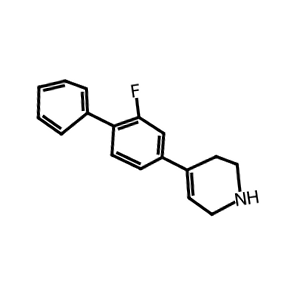 Fc1cc(C2=CCNCC2)ccc1-c1ccccc1